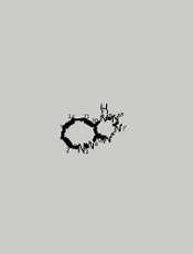 c1ccnnc2nnn[nH]c-2cc1